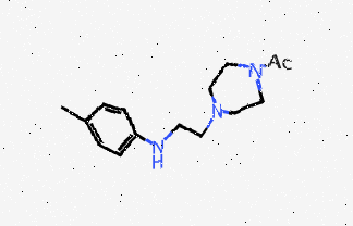 CC(=O)N1CCN(CCNc2ccc(C)cc2)CC1